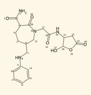 NC(=O)C1CCC(CNc2ccccc2)CN(CC(=O)NC2CC(=O)OC2O)C1=O